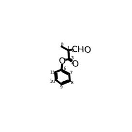 CC(C=O)C(=O)Oc1ccccc1